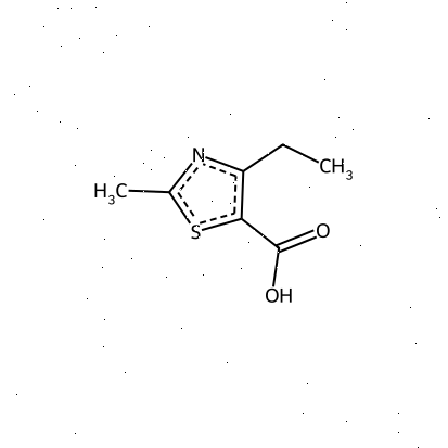 CCc1nc(C)sc1C(=O)O